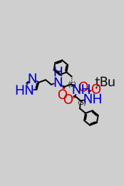 CC(C)(C)OC(=O)N[C@@H](Cc1ccccc1)C(=O)N[C@@H](Cc1ccccc1)C(=O)NCCc1c[nH]cn1